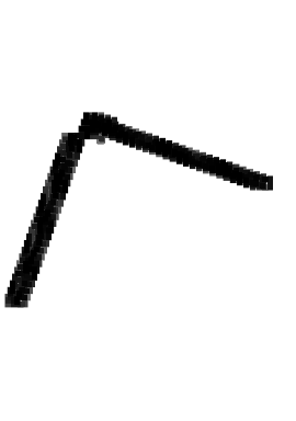 Cl.Cl.Cl.Cl.Cl.Cl.Cl.Cl.Cl.Cl.Cl.Cl.Cl.Cl.Cl.Cl.Cl.Cl.Cl.Cl.Cl.Cl.Cl.Cl.Cl.Cl.Cl.Cl.Cl.Cl.Cl.Cl.Cl.Cl.Cl.Cl.Cl.Cl.Cl.Cl.Cl.Cl.Cl.Cl.Cl.Cl.Cl.Cl.Cl.Cl.N.N.N.N.N